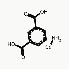 O=C(O)c1cccc(C(=O)O)c1.[NH2][Cd]